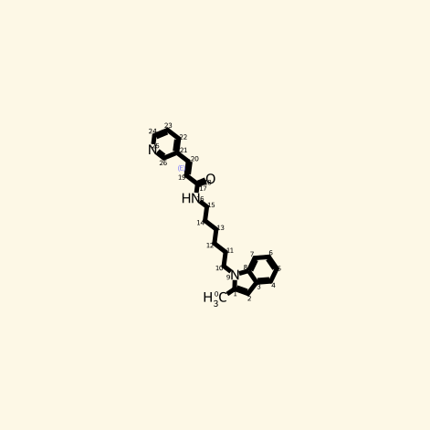 Cc1cc2ccccc2n1CCCCCCNC(=O)/C=C/c1cccnc1